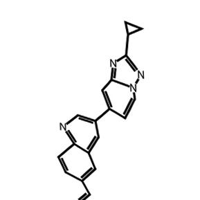 O=Cc1ccc2ncc(-c3ccn4nc(C5CC5)nc4c3)cc2c1